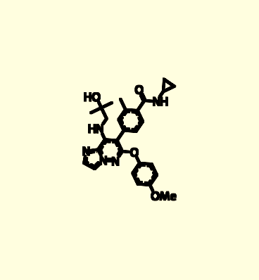 COc1ccc(Oc2nn3ccnc3c(NCC(C)(C)O)c2-c2ccc(C(=O)NC3CC3)c(C)c2)cc1